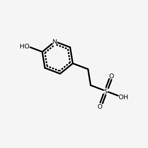 O=S(=O)(O)CCc1ccc(O)nc1